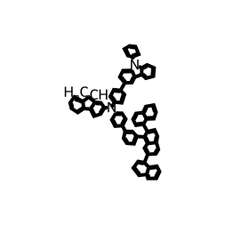 CC1(C)c2ccccc2-c2ccc(N(c3ccc(-c4cccc(-c5c(-c6cccc7ccccc67)ccc6ccc(-c7cccc8ccccc78)cc56)c4)cc3)c3ccc(-c4ccc5c(c4)c4ccccc4n5-c4ccccc4)cc3)cc21